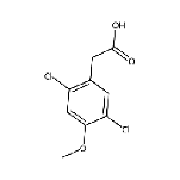 COc1cc(Cl)c(CC(=O)O)cc1Cl